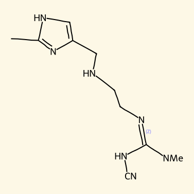 CN/C(=N/CCNCc1c[nH]c(C)n1)NC#N